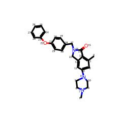 Cc1cc(N2CCN(C)CC2)cc2c1C(=O)N(Cc1ccc(Oc3ccccc3)cc1)C2